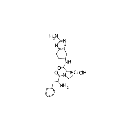 Cl.Cl.Nc1ncc2c(n1)CCC(NC(=O)C1CCCN1C(=O)C(N)Cc1ccccc1)C2